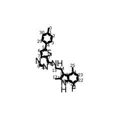 Cc1ccc(-c2cc3ncnc(NCCc4c(C)[nH]c5c(F)ccc(C)c45)c3s2)cc1